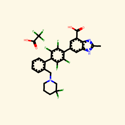 Cc1nc2c(C(=O)O)cc(-c3c(F)c(F)c(-c4ccccc4CN4CCCC(F)(F)C4)c(F)c3F)cc2[nH]1.O=C(O)C(F)(F)F